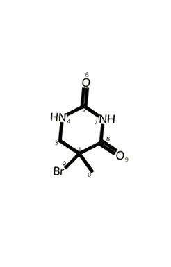 CC1(Br)CNC(=O)NC1=O